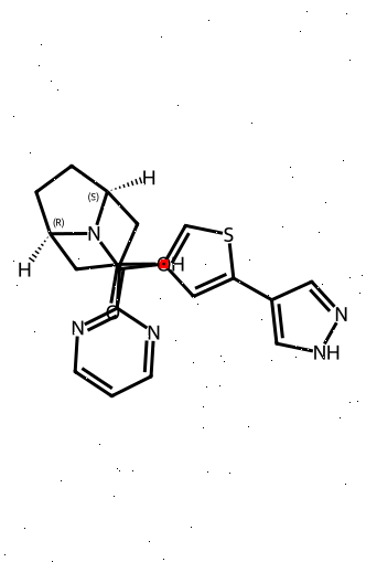 O=C(c1csc(-c2cn[nH]c2)c1)N1[C@@H]2CC[C@H]1CC(O)(c1ncccn1)C2